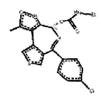 CCNC(=O)C[C@@H]1N=C(c2ccc(Cl)cc2)c2cscc2-c2c1noc2C